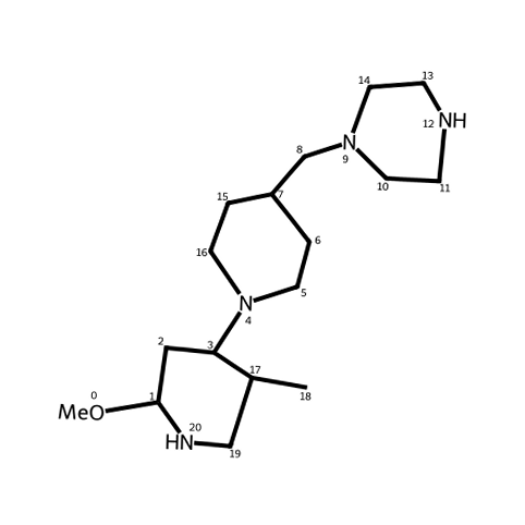 COC1CC(N2CCC(CN3CCNCC3)CC2)C(C)CN1